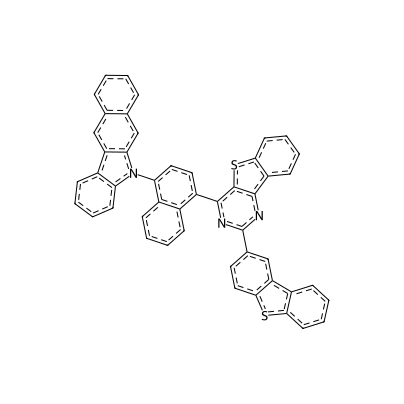 c1ccc2cc3c(cc2c1)c1ccccc1n3-c1ccc(-c2nc(-c3ccc4sc5ccccc5c4c3)nc3c2sc2ccccc23)c2ccccc12